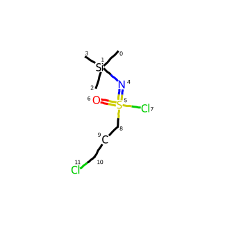 C[Si](C)(C)N=S(=O)(Cl)CCCCl